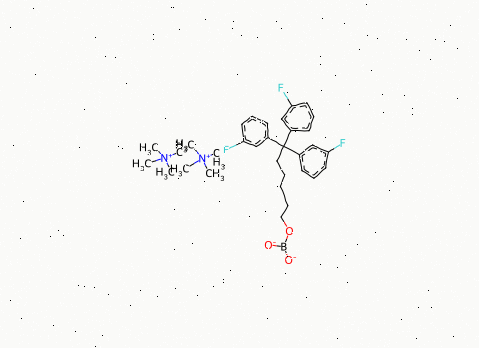 C[N+](C)(C)C.C[N+](C)(C)C.[O-]B([O-])OCCCCCC(c1cccc(F)c1)(c1cccc(F)c1)c1cccc(F)c1